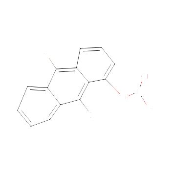 OB(O)Oc1cccc2c(Br)c3ccccc3c(Br)c12